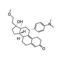 COCC[C@]1(O)CC[C@H]2[C@@H]3CCC4=CC(=O)CCC4=C3[C@@H](c3ccc(N(C)C)cc3)C[C@@]21C